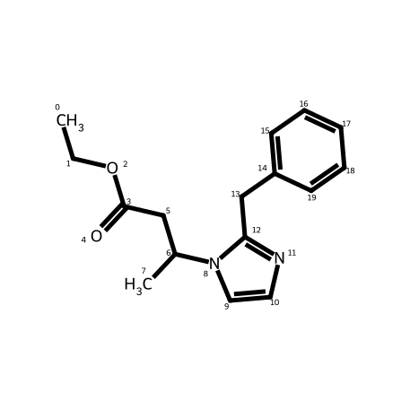 CCOC(=O)CC(C)n1ccnc1Cc1ccccc1